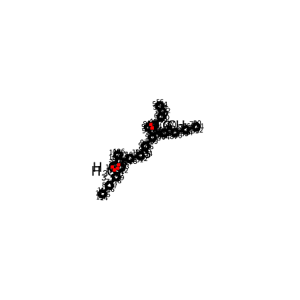 CC1(C)c2cc(-c3ccc(-c4ccccc4)cc3)ccc2-c2ccc(N(c3ccc(-c4ccc5sc6cc(-c7ccc(N(c8cccc(-c9ccc%10sc%11ccccc%11c%10c9)c8)c8ccc9c(c8)C(C)(C)c8cc(-c%10ccc(-c%11ccccc%11)cc%10)ccc8-9)c(-c8ccccc8)c7)ccc6c5c4)cc3)c3ccccc3-c3ccccc3)cc21